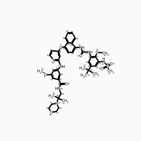 COc1cc(Nc2cc(Oc3ccc(NC(=O)Nc4cc(C(C)(C)C)cc(NS(C)(=O)=O)c4OC)c4ccccc34)ccn2)cc(C(=O)NCC(C)(C)N2CCOCC2)c1